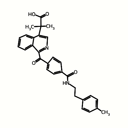 Cc1ccc(CCNC(=O)c2ccc(C(=O)c3ncc(C(C)(C)C(=O)O)c4ccccc34)cc2)cc1